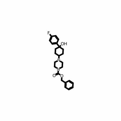 O=C(OCc1ccccc1)N1CCN(C2CCC(O)(c3ccc(F)cc3)CC2)CC1